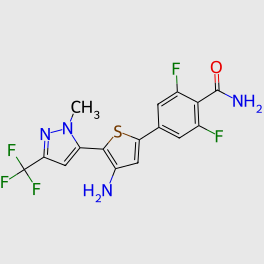 Cn1nc(C(F)(F)F)cc1-c1sc(-c2cc(F)c(C(N)=O)c(F)c2)cc1N